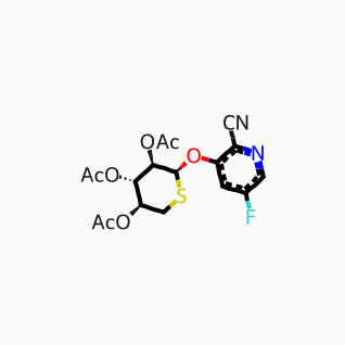 CC(=O)O[C@@H]1[C@@H](OC(C)=O)[C@@H](Oc2cc(F)cnc2C#N)SC[C@H]1OC(C)=O